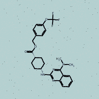 CN(C)c1nc(N[C@H]2CC[C@@H](C(=O)OCc3ccc(OC(F)(F)F)cc3)CC2)nc2ccccc12